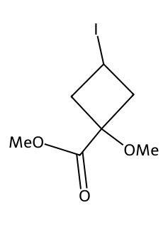 COC(=O)C1(OC)CC(I)C1